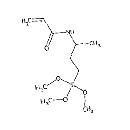 C=CC(=O)NC(C)CC[Si](OC)(OC)OC